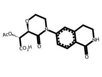 CC(=O)O[C@@H](C(=O)O)[C@H]1OCCN(c2ccc3c(c2)CCNC3=O)C1=O